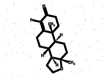 C[C@]12CCC(=O)C(F)=C1CC[C@@H]1[C@@H]2CC[C@]2(C)OCC[C@@H]12